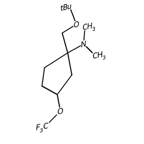 CN(C)C1(COC(C)(C)C)CCC(OC(F)(F)F)C1